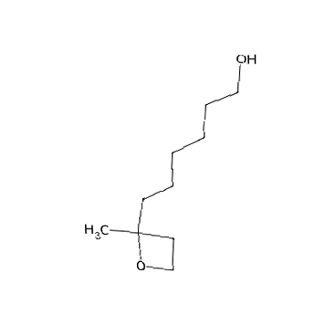 CC1(CCCCCCO)CCO1